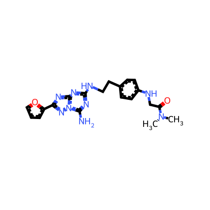 CN(C)C(=O)CNc1ccc(CCNc2nc(N)n3nc(-c4ccco4)nc3n2)cc1